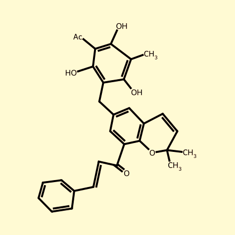 CC(=O)c1c(O)c(C)c(O)c(Cc2cc3c(c(C(=O)C=Cc4ccccc4)c2)OC(C)(C)C=C3)c1O